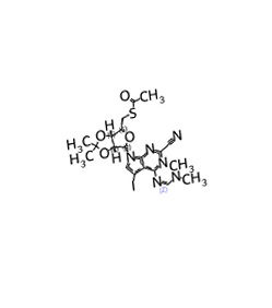 CC(=O)SC[C@H]1O[C@@H](n2cc(I)c3c(/N=C\N(C)C)nc(C#N)nc32)[C@@H]2OC(C)(C)O[C@@H]21